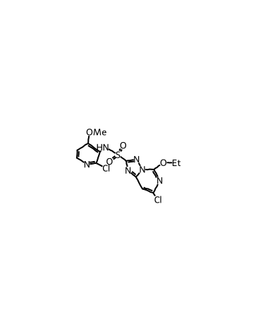 CCOc1nc(Cl)cc2nc(S(=O)(=O)Nc3c(OC)ccnc3Cl)nn12